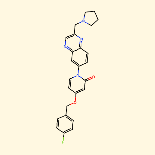 O=c1cc(OCc2ccc(F)cc2)ccn1-c1ccc2nc(CN3CCCC3)cnc2c1